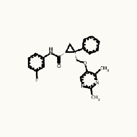 Cc1ncc(OC[C@@]2(c3ccccc3)C[C@H]2C(=O)Nc2cccc(F)c2)c(C)n1